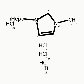 CCCCCCCN1C=CN(C)C1.Cl.Cl.Cl.Cl.[Ti]